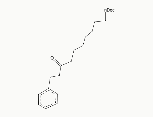 CCCCCCCCCCCCCCCCCC(=O)CCc1ccccc1